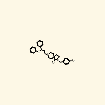 O=C1N(Cc2ccc(Br)cc2)CCC12CCN(CCC(Oc1ccccc1)c1ccccc1)CC2